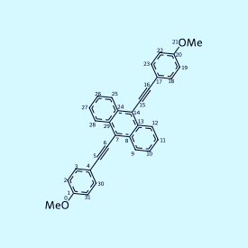 COc1ccc(C#Cc2c3ccccc3c(C#Cc3ccc(OC)cc3)c3ccccc23)cc1